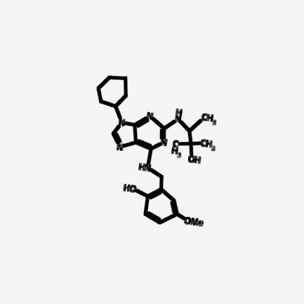 COc1ccc(O)c(CNc2nc(NC(C)C(C)(C)O)nc3c2ncn3C2CCCCC2)c1